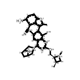 Cc1oc2ccc(N)c(C#N)c2c1-c1c(Cl)cc2c(N3CC4CCC(C3)N4)nc(OC[C@@H]3[C@H](C)CN3C)nc2c1F